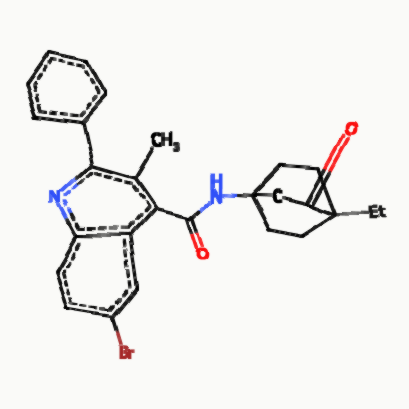 CCC12CCC(NC(=O)c3c(C)c(-c4ccccc4)nc4ccc(Br)cc34)(CC1)CC2=O